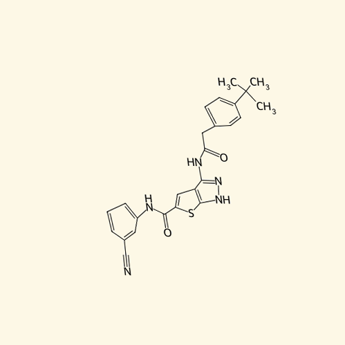 CC(C)(C)c1ccc(CC(=O)Nc2n[nH]c3sc(C(=O)Nc4cccc(C#N)c4)cc23)cc1